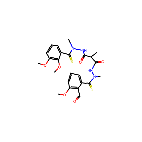 COc1cccc(C(=S)N(C)NC(=O)C(C)C(=O)NN(C)C(=S)c2cccc(OC)c2OC)c1C=O